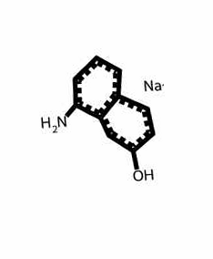 Nc1cccc2ccc(O)cc12.[Na]